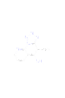 Nc1c([N+](=O)[O-])c2nnnn2c2ncccc12